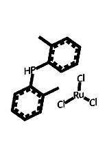 Cc1ccccc1Pc1ccccc1C.[Cl][Ru]([Cl])[Cl]